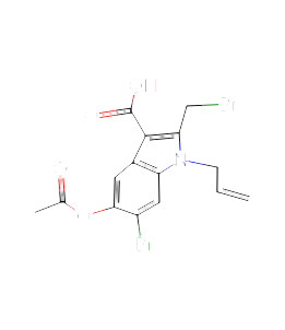 C=CCn1c(CBr)c(C(=O)O)c2cc(OC(C)=O)c(Br)cc21